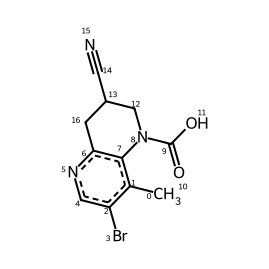 Cc1c(Br)cnc2c1N(C(=O)O)CC(C#N)C2